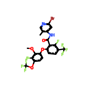 COc1c(Oc2ccc(C(F)(F)F)c(F)c2C(=O)Nc2cc(Br)ncc2C)ccc(OC(F)(F)F)c1F